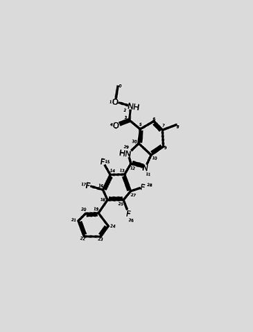 CONC(=O)c1cc(C)cc2nc(-c3c(F)c(F)c(-c4ccccc4)c(F)c3F)[nH]c12